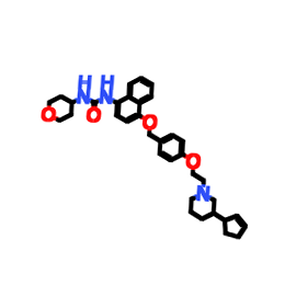 O=C(Nc1ccc(OCc2ccc(OCCN3CCCC(C4C=CCC4)C3)cc2)c2ccccc12)NC1CCOCC1